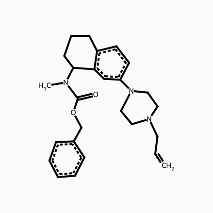 C=CCN1CCN(c2ccc3c(c2)C(N(C)C(=O)OCc2ccccc2)CCC3)CC1